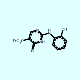 CCOC(=O)c1cnc(Nc2ccccc2O)[nH]c1=O